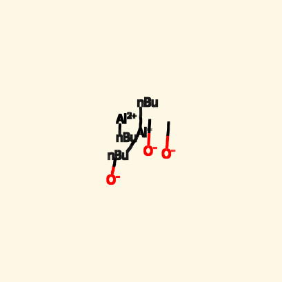 CCC[CH2][Al+2].CCC[CH2][Al+][CH2]CCC.C[O-].C[O-].C[O-]